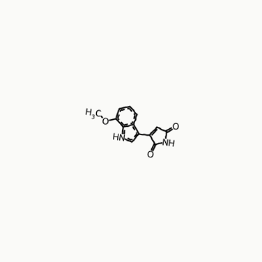 COc1cccc2c(C3=CC(=O)NC3=O)c[nH]c12